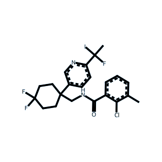 Cc1cccc(C(=O)NCC2(c3ccc(C(C)(F)I)nc3)CCC(F)(F)CC2)c1Cl